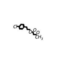 CC(=O)CC(=O)OCCCc1ccc(Cl)cc1